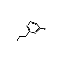 CCCc1nccc(Cl)n1